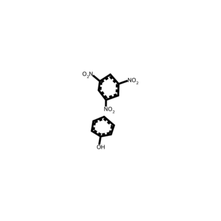 O=[N+]([O-])c1cc([N+](=O)[O-])cc([N+](=O)[O-])c1.Oc1ccccc1